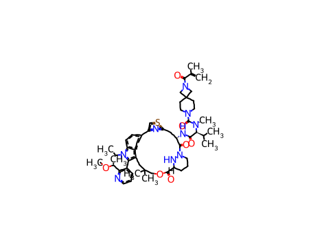 C=C(C)C(=O)N1CC2(CCN(C(=O)N(C)[C@H](C(=O)N[C@H]3Cc4nc(cs4)-c4ccc5c(c4)c(c(-c4cccnc4[C@H](C)OC)n5CC)CC(C)(C)COC(=O)[C@@H]4CCCN(N4)C3=O)C(C)C)CC2)C1